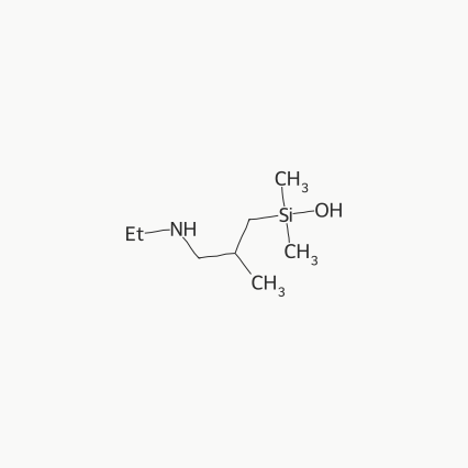 CCNCC(C)C[Si](C)(C)O